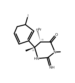 CCC[C@@H]1C(=O)N(C)C(=N)N[C@]1(C)C1=CC(I)CC=C1